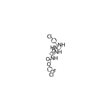 O=C(COc1ccc(Cl)c(F)c1)NC12CC(C1)[C@@H](NC1CCNC(c3ccc(Cl)cc3)N1)C2